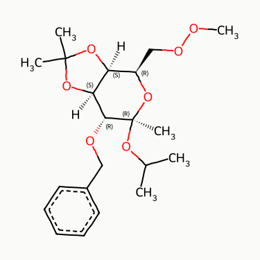 COOC[C@H]1O[C@@](C)(OC(C)C)[C@H](OCc2ccccc2)[C@H]2OC(C)(C)O[C@H]21